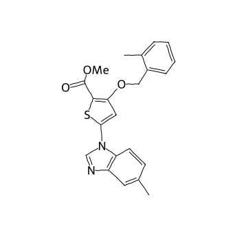 COC(=O)c1sc(-n2cnc3cc(C)ccc32)cc1OCc1ccccc1C